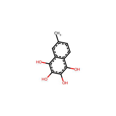 Cc1ccc2c(O)c(O)c(O)c(O)c2c1